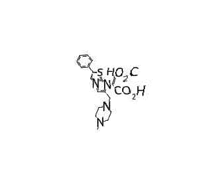 CN1CCN(Cc2cn3cc(-c4ccccc4)sc3n2)CC1.O=C(O)C=CC(=O)O